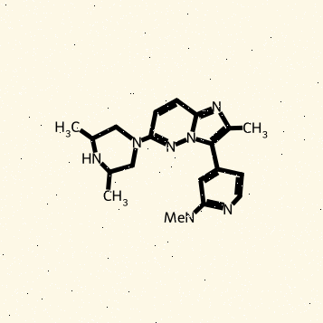 CNc1cc(-c2c(C)nc3ccc(N4CC(C)NC(C)C4)nn23)ccn1